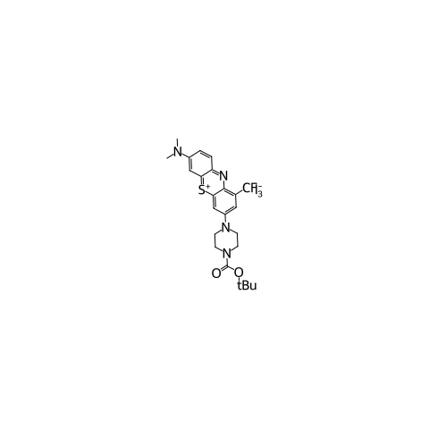 CN(C)c1ccc2nc3c(C(F)(F)F)cc(N4CCN(C(=O)OC(C)(C)C)CC4)cc3[s+]c2c1.[I-]